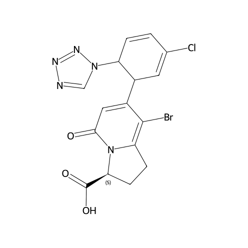 O=C(O)[C@@H]1CCc2c(Br)c(C3C=C(Cl)C=CC3n3cnnn3)cc(=O)n21